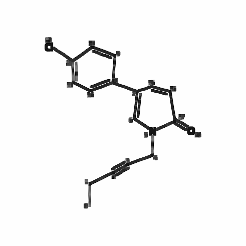 CCC#CCn1cc(-c2ccc(Cl)cc2)ccc1=O